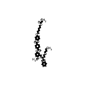 C=CC(=O)OCCCCCCOc1ccc(OC(=O)C2CCC(C(=O)Oc3ccc(OC)c(/C=N/N(CCOCCCC)c4nc5ccccc5s4)c3)CC2)cc1